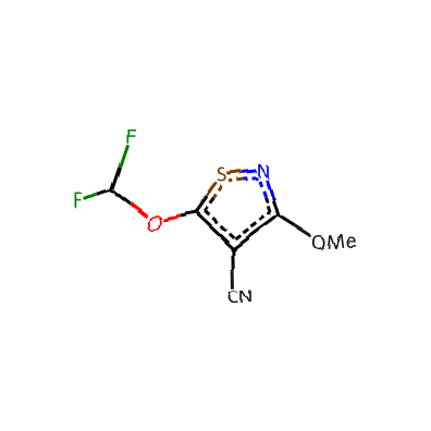 COc1nsc(OC(F)F)c1C#N